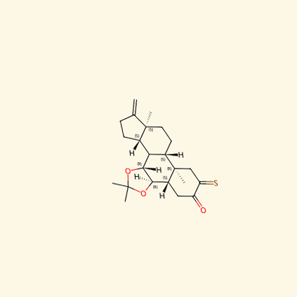 C=C1CC[C@H]2C3[C@H]4OC(C)(C)O[C@@H]4[C@H]4CC(=O)C(=S)C[C@]4(C)[C@H]3CC[C@]12C